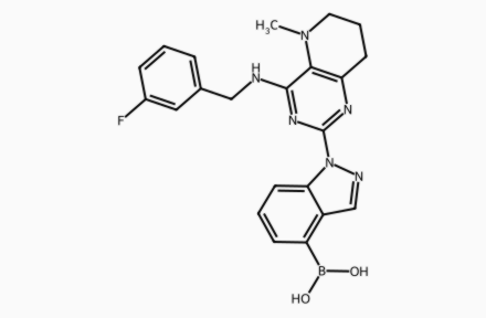 CN1CCCc2nc(-n3ncc4c(B(O)O)cccc43)nc(NCc3cccc(F)c3)c21